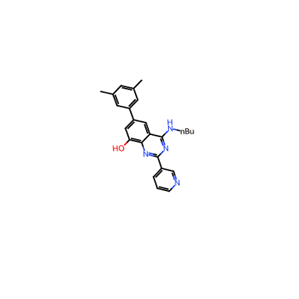 CCCCNc1nc(-c2cccnc2)nc2c(O)cc(-c3cc(C)cc(C)c3)cc12